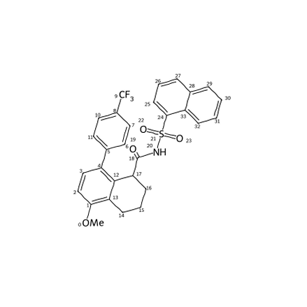 COc1ccc(-c2ccc(C(F)(F)F)cc2)c2c1CCCC2C(=O)NS(=O)(=O)c1cccc2ccccc12